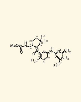 C=C/N=C(\C=C(/C)OCC)Nc1ccc(C)c(C(=O)N2CC(F)(F)CC[C@@H]2CNC(=O)OC)n1